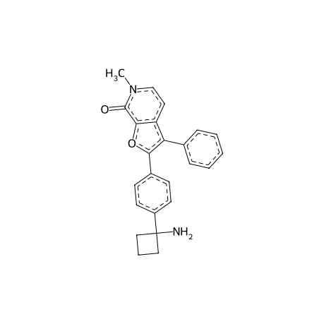 Cn1ccc2c(-c3ccccc3)c(-c3ccc(C4(N)CCC4)cc3)oc2c1=O